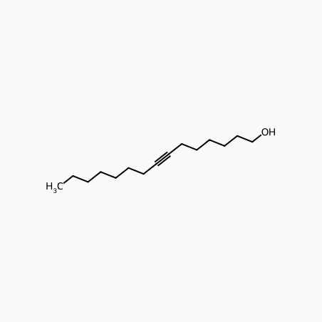 CCCCCCCC#CCCCCCCO